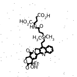 CC[C@@]1(O)C(=O)OCc2c1cc1n(c2=O)Cc2c-1nc1ccccc1c2CC[Si](C)(C)CCC(=O)N[C@@H](CCC(=O)O)C(=O)O